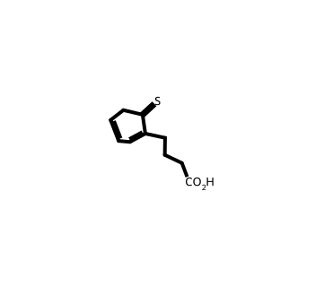 O=C(O)CCCC1=CC=CCC1=S